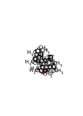 CC1(C)CCC(C)(C)c2cc(N3c4cc(C56CC7CC(CC(C7)C5)C6)cc5c4B(c4cc6c(cc4N5c4cc5c(cc4-c4ccccc4)C(C)(C)CCC5(C)C)C(C)(C)CCC6(C)C)c4sc5c(c43)C(C)(C)CCC5(C)C)ccc21